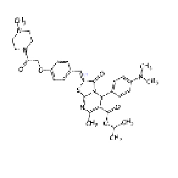 CC1=C(C(=O)OC(C)C)C(c2ccc(N(C)C)cc2)n2c(s/c(=C\c3ccc(OCC(=O)N4CCN(C)CC4)cc3)c2=O)=N1